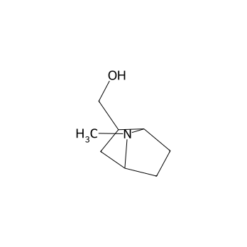 CN1C2CCC1C(CO)C2